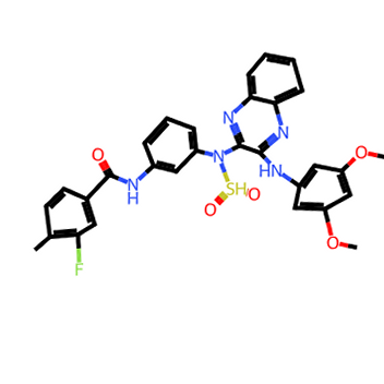 COc1cc(Nc2nc3ccccc3nc2N(c2cccc(NC(=O)c3ccc(C)c(F)c3)c2)[SH](=O)=O)cc(OC)c1